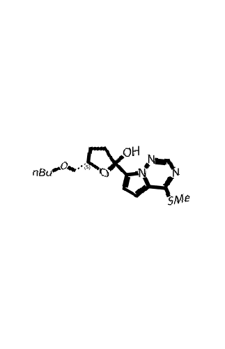 CCCCOC[C@@H]1CCC(O)(c2ccc3c(SC)ncnn23)O1